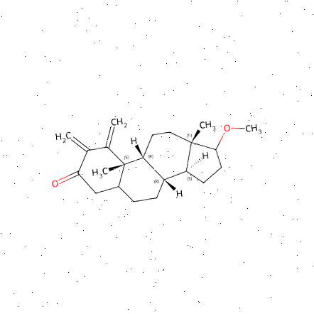 C=C1C(=C)[C@@]2(C)C(CC[C@@H]3[C@H]2CC[C@]2(C)C(OC)CC[C@@H]32)CC1=O